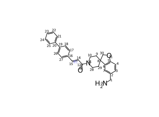 NCc1ccc2c(c1)C1(CCN(C(=O)/C=C/c3ccc(-c4ccccc4)cc3)CC1)CO2